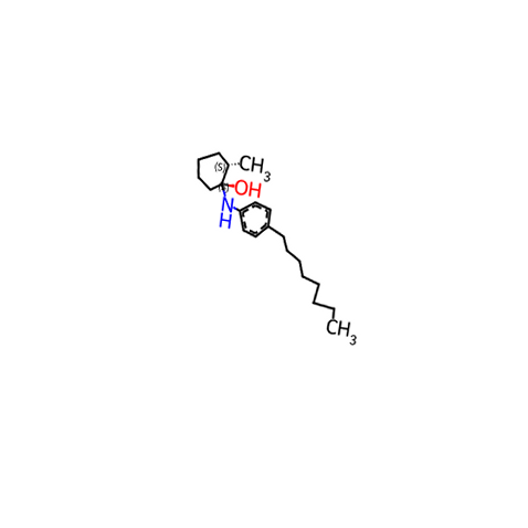 CCCCCCCCc1ccc(N[C@]2(O)CCCC[C@@H]2C)cc1